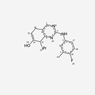 Cc1cc(Nc2ncc3c(n2)C(C(C)C)C(O)=CC3)ccc1F